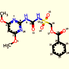 COc1cc(OC)nc(NC(=O)NS(=O)(=O)COC(=O)c2ccccc2)n1